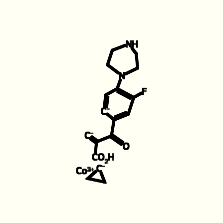 [CH-]1CC1.[CH-]=C(C(=O)O)C(=O)c1[c-]cc(N2CCNCC2)c(F)c1.[Co+3]